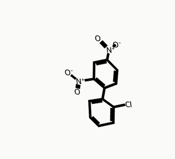 O=[N+]([O-])c1ccc(-c2ccccc2Cl)c([N+](=O)[O-])c1